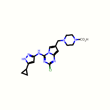 O=C(O)N1CCN(Cc2cc3nc(Cl)nc(Nc4cc(C5CC5)[nH]n4)n3c2)CC1